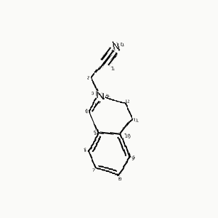 N#CC[N+]1=Cc2ccccc2CC1